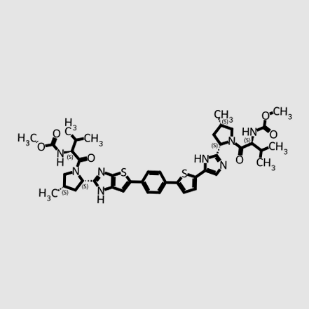 COC(=O)N[C@H](C(=O)N1C[C@@H](C)C[C@H]1c1ncc(-c2ccc(-c3ccc(-c4cc5[nH]c([C@@H]6C[C@H](C)CN6C(=O)[C@@H](NC(=O)OC)C(C)C)nc5s4)cc3)s2)[nH]1)C(C)C